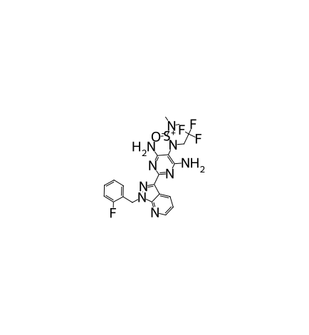 CN(C)[S+]([O-])N(CC(F)(F)F)c1c(N)nc(-c2nn(Cc3ccccc3F)c3ncccc23)nc1N